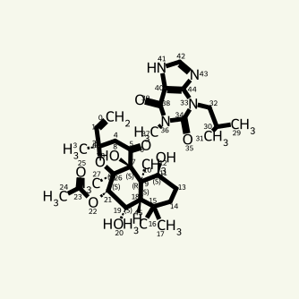 C=C[C@@]1(C)CC(=O)[C@]2(O)[C@@]3(C)[C@@H](O)CCC(C)(C)[C@@H]3[C@H](O)[C@H](OC(C)=O)[C@@]2(C)O1.CC(C)Cn1c(=O)n(C)c(=O)c2[nH]cnc21